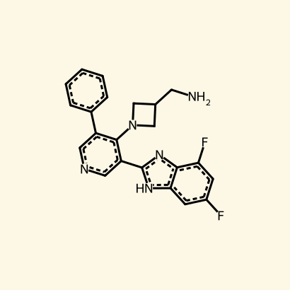 NCC1CN(c2c(-c3ccccc3)cncc2-c2nc3c(F)cc(F)cc3[nH]2)C1